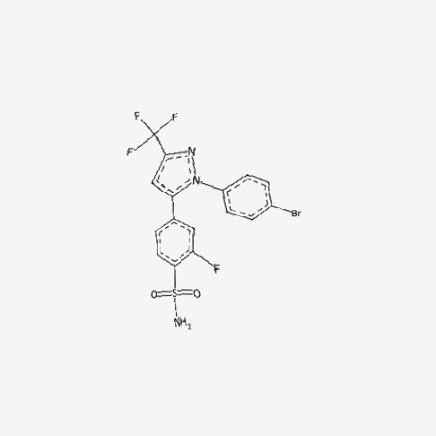 NS(=O)(=O)c1ccc(-c2cc(C(F)(F)F)nn2-c2ccc(Br)cc2)cc1F